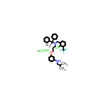 CC(C)CNc1cccc(OCCCN(Cc2cccc(C(F)(F)F)c2Cl)C(C)(c2ccccc2)c2ccccc2)c1.Cl.Cl